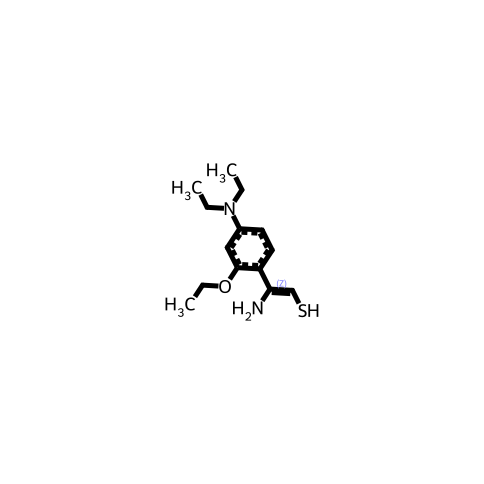 CCOc1cc(N(CC)CC)ccc1/C(N)=C/S